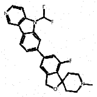 CN1CCC2(CC1)OCc1cc(-c3ccc4c5cnccc5n(C(F)F)c4c3)cc(F)c12